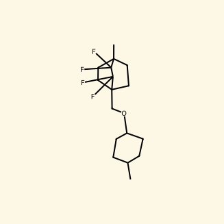 CC1CCC(OCC23CCC(C)(CC2)C(F)(F)C3(F)F)CC1